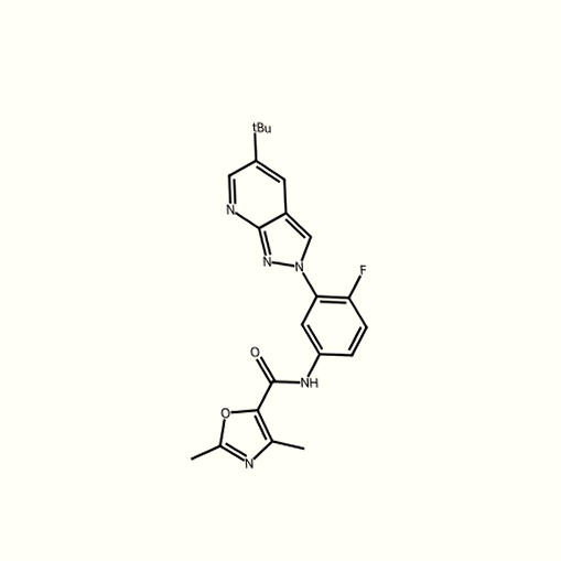 Cc1nc(C)c(C(=O)Nc2ccc(F)c(-n3cc4cc(C(C)(C)C)cnc4n3)c2)o1